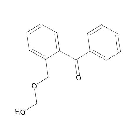 O=C(c1ccccc1)c1ccccc1COCO